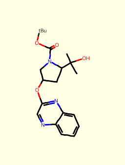 CC(C)(C)OC(=O)N1CC(Oc2cnc3ccccc3n2)CC1C(C)(C)O